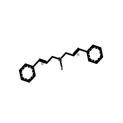 IN(C/C=C/c1ccccc1)C/C=C/c1ccccc1